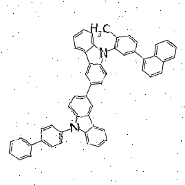 Cc1ccc(-c2cccc3ccccc23)cc1-n1c2ccccc2c2cc(-c3ccc4c(c3)c3ccccc3n4-c3ccc(-c4ccccc4)cc3)ccc21